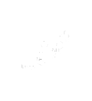 CCOC(=O)c1csc([C@H]2C[C@H](NC(=O)C3(c4ccc5c(c4)OC(F)(F)O5)CC3)c3ccccc3O2)n1